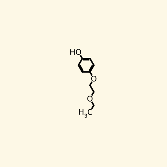 CCOCCOc1ccc(O)cc1